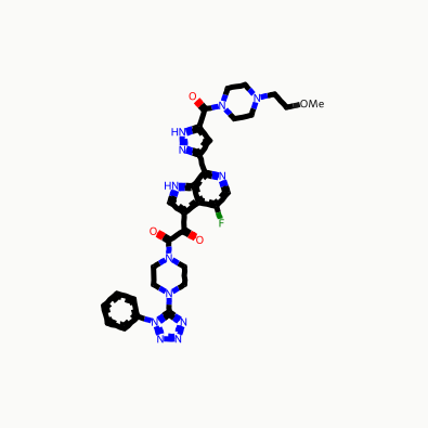 COCCN1CCN(C(=O)c2cc(-c3ncc(F)c4c(C(=O)C(=O)N5CCN(c6nnnn6-c6ccccc6)CC5)c[nH]c34)n[nH]2)CC1